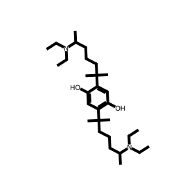 CCN(CC)C(C)CCCC(C)(C)c1cc(O)c(C(C)(C)CCCC(C)N(CC)CC)cc1O